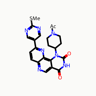 CSc1ncc(-c2ccc3ncc4c(=O)[nH]c(=O)n(C5CCN(C(C)=O)CC5)c4c3n2)cn1